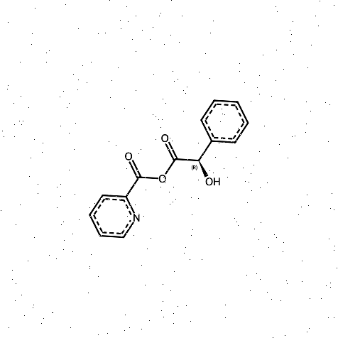 O=C(OC(=O)[C@H](O)c1ccccc1)c1ccccn1